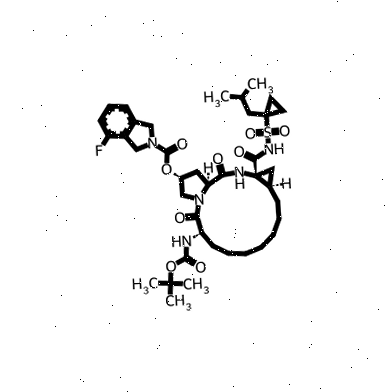 CC(C)CC1(S(=O)(=O)NC(=O)[C@@]23C[C@H]2CCCCCCC[C@H](NC(=O)OC(C)(C)C)C(=O)N2C[C@H](OC(=O)N4Cc5cccc(F)c5C4)C[C@H]2C(=O)N3)CC1